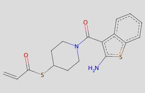 C=CC(=O)SC1CCN(C(=O)c2c(N)sc3ccccc23)CC1